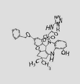 CC1(C)CC(=O)C2=C(C1)Nc1c(O)cccc1N(S(=O)(=O)CC(=O)Nc1nnn[nH]1)C2c1ccc(OCc2ccccc2)cc1Cl